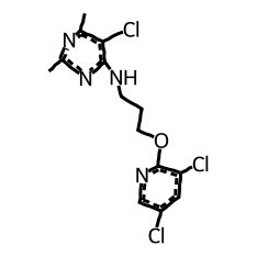 Cc1nc(C)c(Cl)c(NCCCOc2ncc(Cl)cc2Cl)n1